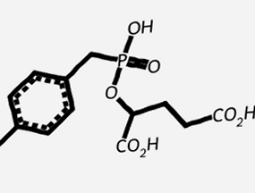 O=C(O)CCC(OP(=O)(O)Cc1ccc(F)cc1)C(=O)O